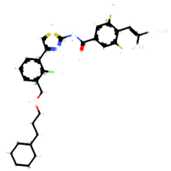 CC(=Cc1c(F)cc(C(=O)Nc2nc(-c3cccc(COCCCC4CCCCC4)c3F)cs2)cc1F)C(=O)O